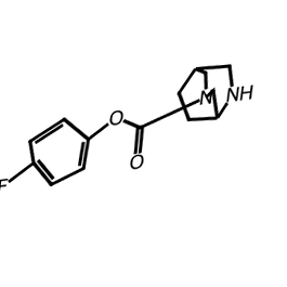 O=C(Oc1ccc(F)cc1)N1CC2CCC(C1)NC2